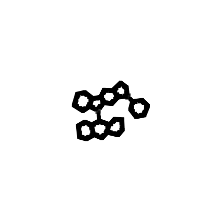 c1ccc(-n2ccc3cc4c5ccccc5n(-c5c6ccccc6cc6ccccc56)c4cc32)cc1